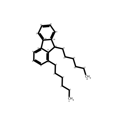 CCCCCCc1[c]ccc2c1C(CCCCCC)c1c[c]ccc1-2